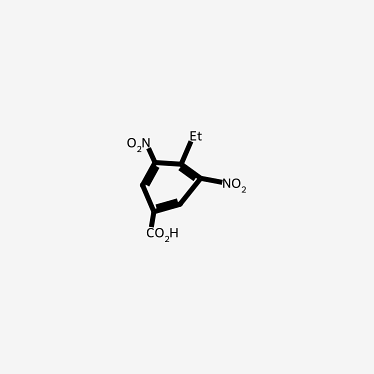 CCc1c([N+](=O)[O-])cc(C(=O)O)cc1[N+](=O)[O-]